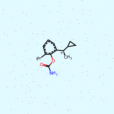 CC(C)c1cccc([C@H](C)C2CC2)c1OC(N)=O